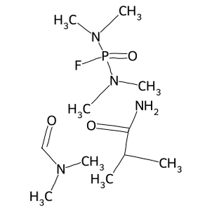 CC(C)C(N)=O.CN(C)C=O.CN(C)P(=O)(F)N(C)C